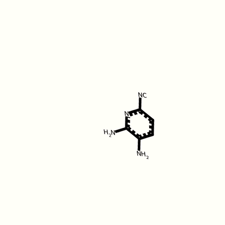 [C-]#[N+]c1ccc(N)c(N)n1